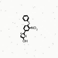 O=[N+]([O-])c1cc(-c2nc(O)cs2)ccc1Sc1ccccc1